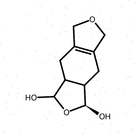 OC1O[C@H](O)C2CC3=C(COC3)CC12